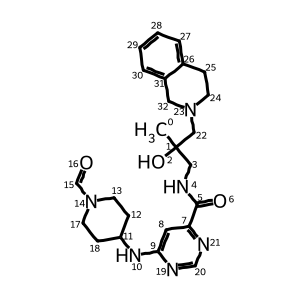 CC(O)(CNC(=O)c1cc(NC2CCN(C=O)CC2)ncn1)CN1CCc2ccccc2C1